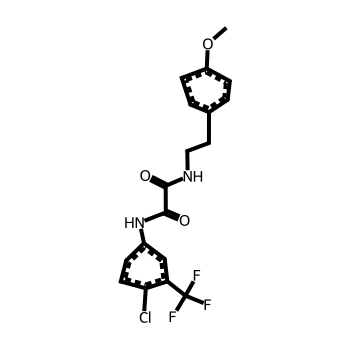 COc1ccc(CCNC(=O)C(=O)Nc2ccc(Cl)c(C(F)(F)F)c2)cc1